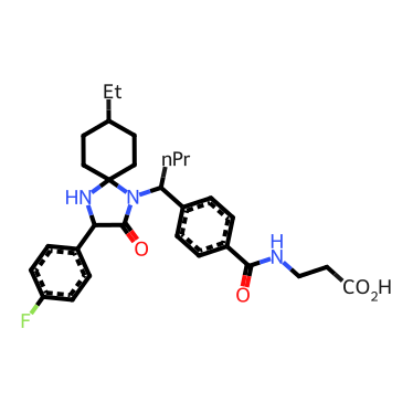 CCCC(c1ccc(C(=O)NCCC(=O)O)cc1)N1C(=O)C(c2ccc(F)cc2)NC12CCC(CC)CC2